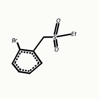 CCS(=O)(=O)Cc1ccccc1Br